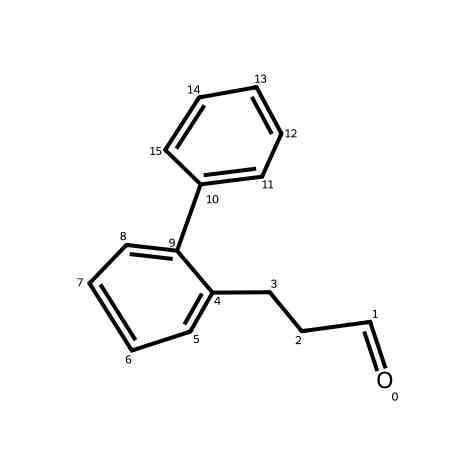 O=CCCc1ccccc1-c1ccccc1